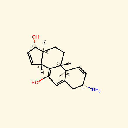 C[C@]12CC[C@H]3C(=C(O)C=C4C[C@@H](N)C=C[C@@]43C)[C@@H]1C=C[C@@H]2O